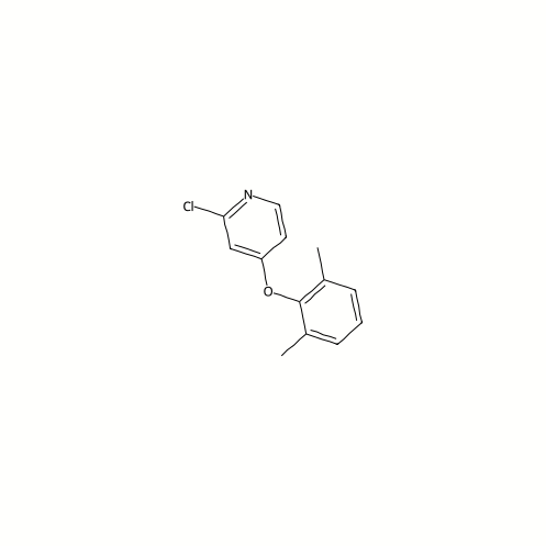 Cc1cccc(C)c1Oc1ccnc(Cl)c1